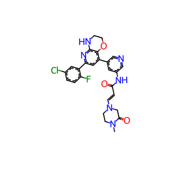 CN1CCN(C=CC(=O)Nc2cncc(-c3cc(-c4cc(Cl)ccc4F)nc4c3OCCN4)c2)CC1=O